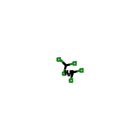 ClC(Cl)Cl.Cl[SiH2]Cl